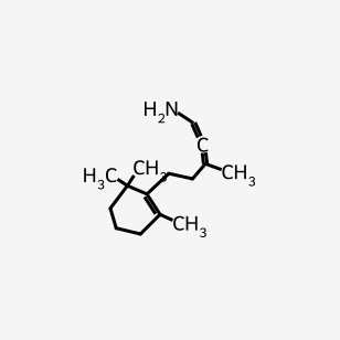 CC(=C=CN)CCC1=C(C)CCCC1(C)C